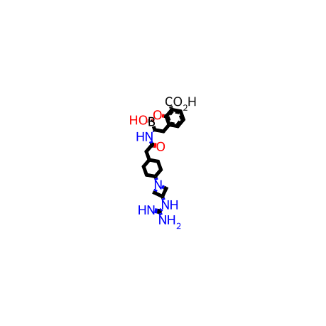 N=C(N)NC1CN(C2CCC(CC(=O)N[C@H]3Cc4cccc(C(=O)O)c4OB3O)CC2)C1